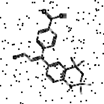 CC1(C)CC(C)(C)c2cc(/C(=C/C=O)c3ccc(C(=O)O)cc3)ccc2S1